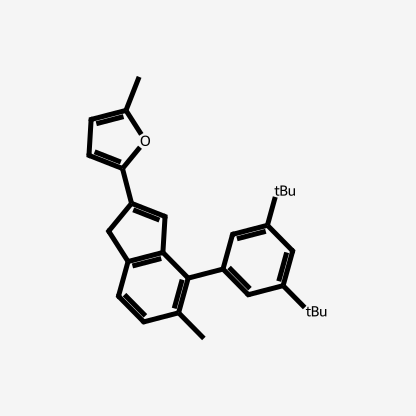 Cc1ccc(C2=Cc3c(ccc(C)c3-c3cc(C(C)(C)C)cc(C(C)(C)C)c3)C2)o1